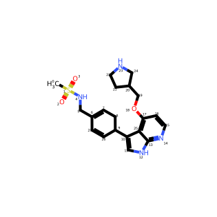 CS(=O)(=O)NCC1=CCC(c2c[nH]c3nccc(OCC4CCNC4)c23)C=C1